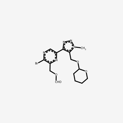 Cn1nnc(-c2cnc(Br)c(COC=O)n2)c1COC1CCCCO1